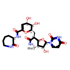 CO[C@H]1[C@@H](O)[C@H](n2ccc(=O)[nH]c2=O)O[C@@H]1[C@H](C[C@@H]1OC(C(=O)N[C@H]2CCCCNC2=O)=C[C@H](O)[C@@H]1O)C(N)=O